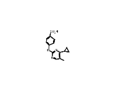 Cc1cnc(Nc2ccc(C(=O)O)cc2)nc1C1CC1